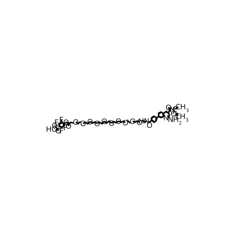 CCCN(OCC)C(=O)C1=Cc2ccc(-c3ccc(C(=O)NCCOCCOCCOCCOCCOCCOCCOCCOCCOCCOCCC(=O)Oc4c(F)c(F)c(S(=O)(=O)O)c(F)c4F)cc3)cc2N=C(N)C1